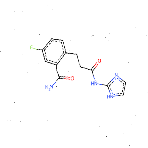 NC(=O)c1cc(F)ccc1C[CH]C(=O)Nc1ncc[nH]1